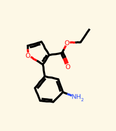 CCOC(=O)c1ccoc1-c1cccc(N)c1